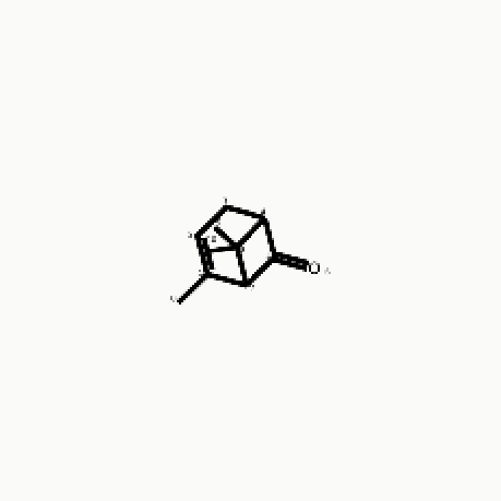 CC1=CCC2C(=O)C1C2(C)C